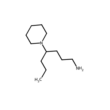 CCCC(CCCN)N1CCCCC1